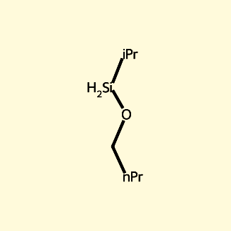 CCCCO[SiH2]C(C)C